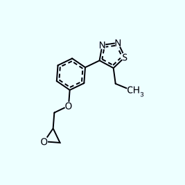 CCc1snnc1-c1cccc(OCC2CO2)c1